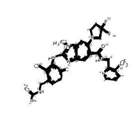 Cn1c(Nc2c(Cl)ccc(CNC(=O)C(C)(C)C)c2Cl)nc2cc(C(=O)NCc3ncccc3C(F)(F)F)c(N3CCC(F)(F)C3)cc21